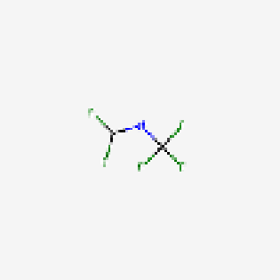 FC(F)[N]C(F)(F)F